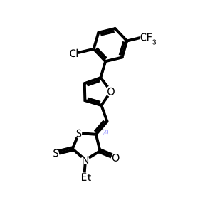 CCN1C(=O)/C(=C/c2ccc(-c3cc(C(F)(F)F)ccc3Cl)o2)SC1=S